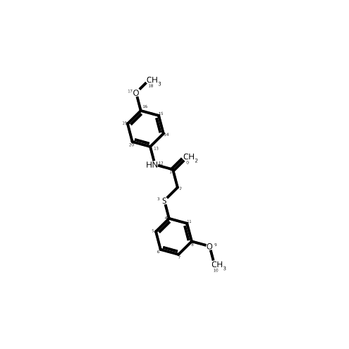 C=C(CSc1cccc(OC)c1)Nc1ccc(OC)cc1